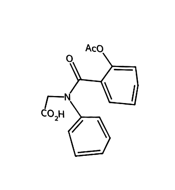 CC(=O)Oc1ccccc1C(=O)N(CC(=O)O)c1ccccc1